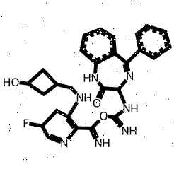 N=C(NC1N=C(c2ccccc2)c2ccccc2NC1=O)OC(=N)C1=C(NCC2CC(O)C2)CC(F)C=N1